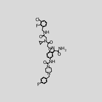 NC(=O)c1nn(CC(=O)N(CC(=O)NCc2cccc(Cl)c2F)C2CC2)c2ccc(NC(=O)N3CCN(Cc4ccc(F)cc4)CC3)cc12